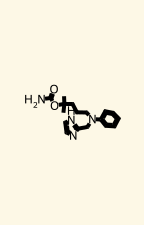 CC(C)(CCCN(Cc1ncc[nH]1)c1ccccc1)OC(N)=O